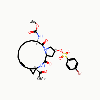 COC(=O)[C@@]12CC1/C=C\CCCCC[C@H](NC(=O)OC(C)(C)C)C(=O)N1C[C@@H](OS(=O)(=O)c3ccc(Br)cc3)CC1C(=O)N2